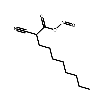 CCCCCCCCC(C#N)C(=O)ON=O